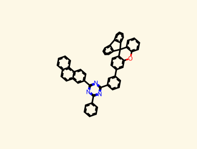 c1ccc(-c2nc(-c3cccc(-c4ccc5c(c4)Oc4ccccc4C54c5ccccc5-c5ccccc54)c3)nc(-c3ccc4c(ccc5ccccc54)c3)n2)cc1